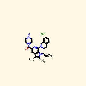 C=CCn1c(C)c(C)c2cc(C(=O)N3CCNCC3)nc(N3CCc4ccccc4C3)c21.Cl